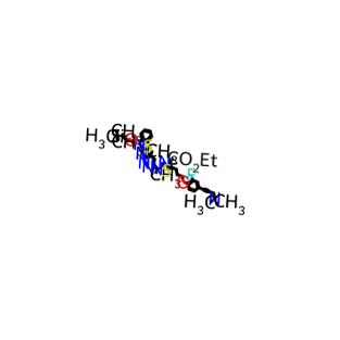 CCOC(=O)c1nc(N(C)c2cc(C)c(/N=c3\sc4ccccc4n3COCC[Si](C)(C)C)nn2)sc1CCCOc1ccc(C#CCN(C)C)cc1F